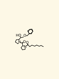 CCCCCCCC(=O)N1CCCC1C(=O)N1CCCC1C(O)COCc1ccccc1